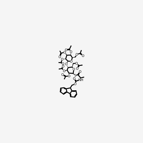 CC(=O)OC[C@H]1O[C@@H](SC(=O)C(C)NC(=O)OCC2c3ccccc3-c3ccccc32)[C@H](OC(C)=O)[C@@H](OC(C)=O)[C@@H]1O[C@@H]1O[C@H](COC(C)=O)[C@@H](OC(C)=O)[C@H](OC(C)=O)[C@H]1OC(C)=O